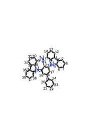 N#Cc1c(-n2c3ccccc3c3ccccc32)cc(-c2ccccc2)cc1-n1c2ccccc2c2ccccc21